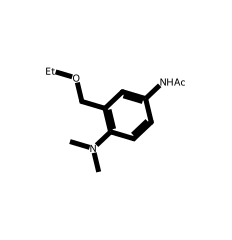 CCOCc1cc(NC(C)=O)ccc1N(C)C